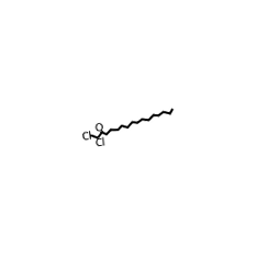 CCCCCCCCCCCCCCC(=O)C(Cl)Cl